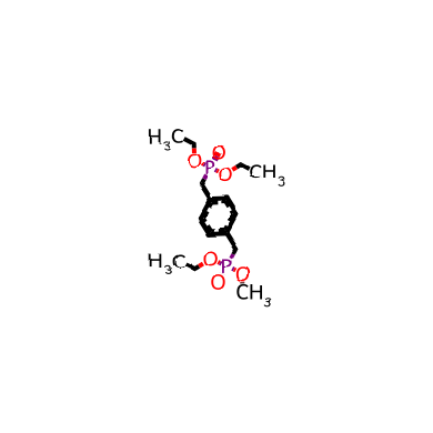 CCOP(=O)(Cc1ccc(CP(=O)(OCC)OCC)cc1)OC